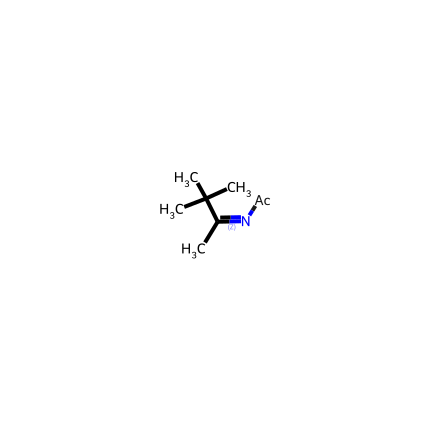 CC(=O)/N=C(/C)C(C)(C)C